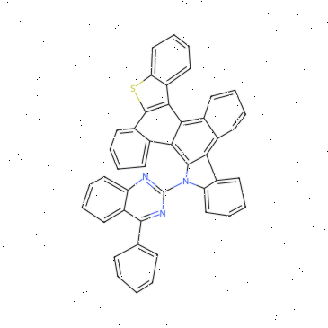 c1ccc(-c2nc(-n3c4ccccc4c4c5ccccc5c5c6c7ccccc7sc6c6ccccc6c5c43)nc3ccccc23)cc1